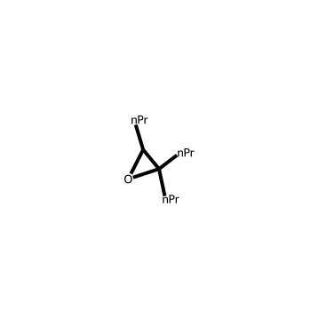 CCCC1OC1(CCC)CCC